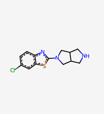 Clc1ccc2nc(N3CC4CNCC4C3)sc2c1